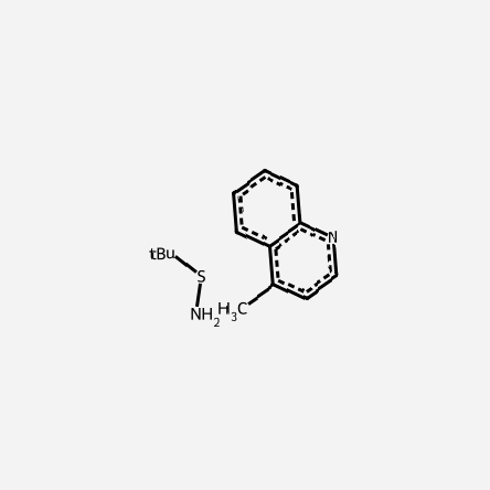 CC(C)(C)SN.Cc1ccnc2ccccc12